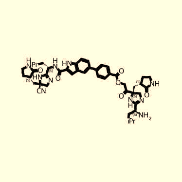 CC(C)C[C@H](NC(=O)c1cc2cc(-c3ccc(C(=O)OCC(=O)[C@]4(C[C@@H]5CCNC5=O)CN=C([C@@H](N)CC(C)C)N4)cc3)ccc2[nH]1)C1=NC[C@](C#N)(C[C@@H]2CCNC2=O)N1